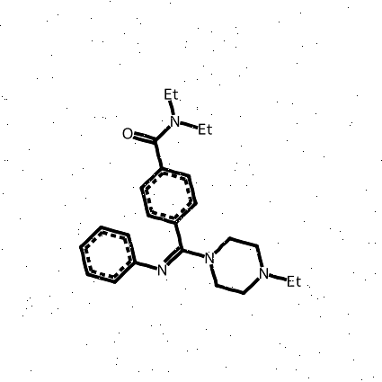 CCN1CCN(C(=Nc2ccccc2)c2ccc(C(=O)N(CC)CC)cc2)CC1